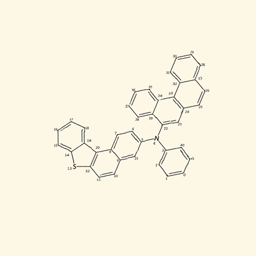 c1ccc(N(c2ccc3c(ccc4sc5ccccc5c43)c2)c2cc3ccc4ccccc4c3c3ccccc23)cc1